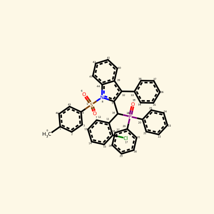 Cc1ccc(S(=O)(=O)n2c(C(c3ccccc3Cl)P(=O)(c3ccccc3)c3ccccc3)c(-c3ccccc3)c3ccccc32)cc1